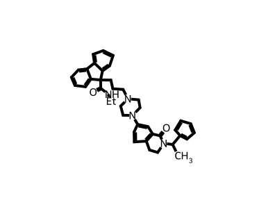 CCNC(=O)C1(CCCN2CCN(c3ccc4c(c3)C(=O)N(C(C)c3ccccc3)CC4)CC2)c2ccccc2-c2ccccc21